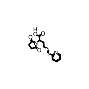 O=C(O)C(CCSSc1ccccn1)N1C(=O)CCC1=O